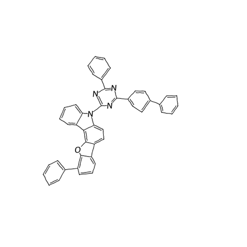 c1ccc(-c2ccc(-c3nc(-c4ccccc4)nc(-n4c5ccccc5c5c6oc7c(-c8ccccc8)cccc7c6ccc54)n3)cc2)cc1